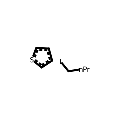 CCCCI.c1ccsc1